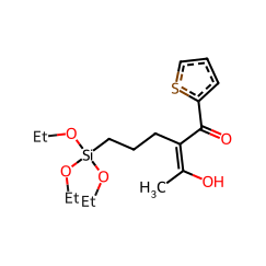 CCO[Si](CCC/C(C(=O)c1cccs1)=C(\C)O)(OCC)OCC